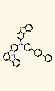 c1ccc(-c2ccc(-c3ccc(N(c4ccc5sc6ccccc6c5c4)c4ccc5c6cccc7c8ccccc8n(c5c4)c76)cc3)cc2)cc1